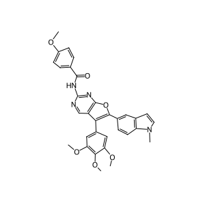 COc1ccc(C(=O)Nc2ncc3c(-c4cc(OC)c(OC)c(OC)c4)c(-c4ccc5c(ccn5C)c4)oc3n2)cc1